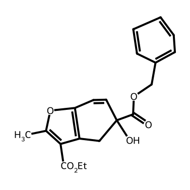 CCOC(=O)c1c(C)oc2c1CC(O)(C(=O)OCc1ccccc1)C=C2